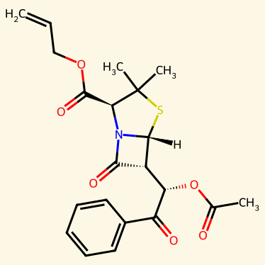 C=CCOC(=O)[C@@H]1N2C(=O)[C@@H]([C@H](OC(C)=O)C(=O)c3ccccc3)[C@H]2SC1(C)C